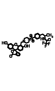 CC(Cc1ccc(S(=O)(=O)N2CCN(Cc3c(O)ccc4c3Oc3cc(O)ccc3C43OC(=O)c4ccccc43)CC2)cc1)NC(=O)C(F)(F)F